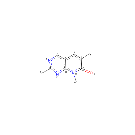 Cc1ncc2cc(C)c(=O)n(C)c2n1